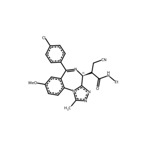 CCNC(=O)C(CC#N)[C@@H]1N=C(c2ccc(Cl)cc2)c2cc(OC)ccc2-n2c(C)nnc21